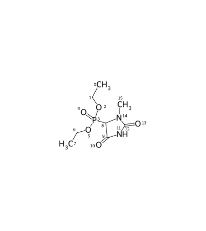 CCOP(=O)(OCC)C1C(=O)NC(=O)N1C